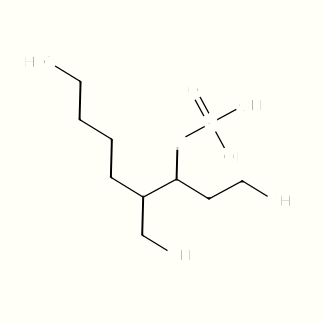 CCCCCC(CC)C(CCC)OP(=O)(O)O